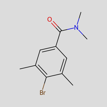 Cc1cc(C(=O)N(C)C)cc(C)c1Br